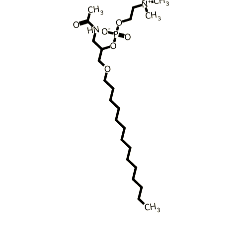 CCCCCCCCCCCCCCOCC(CNC(C)=O)OP(=O)([O-])OCC[N+](C)(C)C